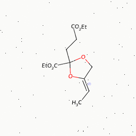 C/C=C1/COC(CCC(=O)OCC)(C(=O)OCC)O1